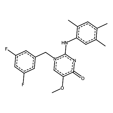 COc1cn(Cc2cc(F)cc(F)c2)c(Nc2cc(C)c(C)cc2C)nc1=O